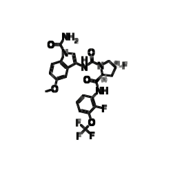 COc1ccc2c(c1)c(NC(=O)N1C[C@H](F)C[C@H]1C(=O)Nc1cccc(OC(F)(F)F)c1F)cn2C(N)=O